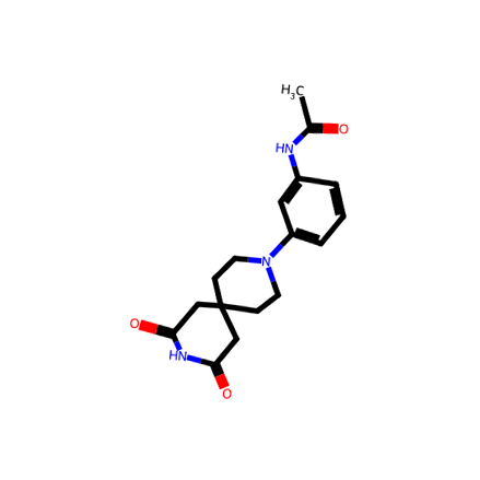 CC(=O)Nc1cccc(N2CCC3(CC2)CC(=O)NC(=O)C3)c1